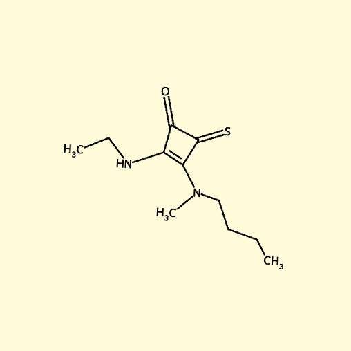 CCCCN(C)c1c(NCC)c(=O)c1=S